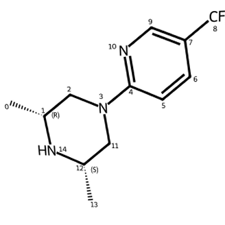 C[C@@H]1CN(c2ccc(C(F)(F)F)cn2)C[C@H](C)N1